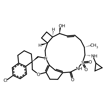 C[C@H]1C/C=C/[C@H](O)[C@@H]2CC[C@H]2CN2C[C@@]3(CCCc4cc(Cl)ccc43)COC3=C2C=C(CC3)C(=O)NS(=O)(=O)[C@H]1NC1CC1